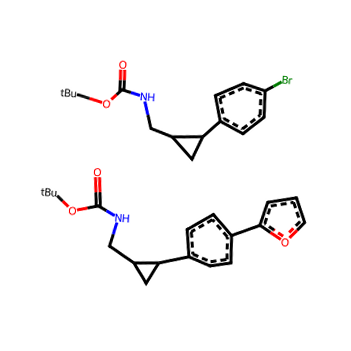 CC(C)(C)OC(=O)NCC1CC1c1ccc(-c2ccco2)cc1.CC(C)(C)OC(=O)NCC1CC1c1ccc(Br)cc1